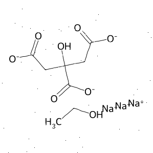 CCO.O=C([O-])CC(O)(CC(=O)[O-])C(=O)[O-].[Na+].[Na+].[Na+]